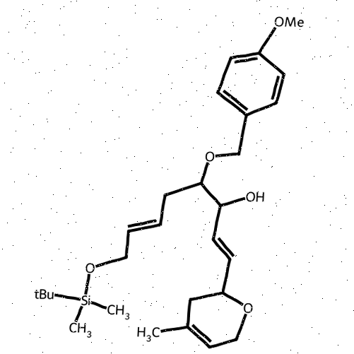 COc1ccc(COC(CC=CCO[Si](C)(C)C(C)(C)C)C(O)C=CC2CC(C)=CCO2)cc1